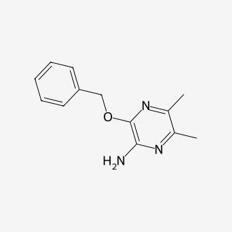 Cc1nc(N)c(OCc2ccccc2)nc1C